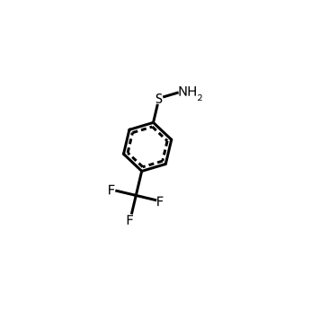 NSc1ccc(C(F)(F)F)cc1